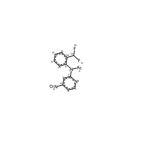 CC(=O)N(c1cc([N+](=O)[O-])ccn1)c1ccccc1C(F)F